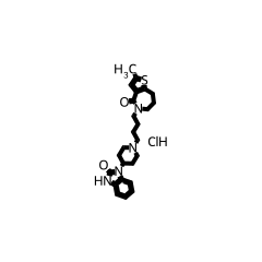 Cc1cc2c(s1)CCCN(CCCCN1CCC(n3c(=O)[nH]c4ccccc43)CC1)C2=O.Cl